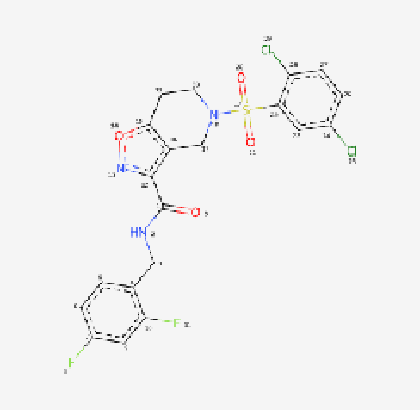 O=C(NCc1ccc(F)cc1F)c1noc2c1CN(S(=O)(=O)c1cc(Cl)ccc1Cl)CC2